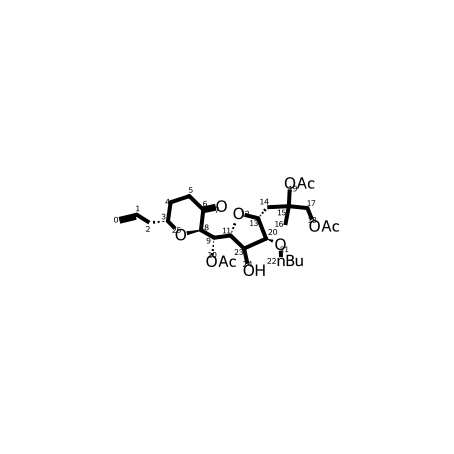 C=CC[C@@H]1CCC(=O)[C@@H]([C@@H](OC(C)=O)[C@@H]2O[C@H](CC(C)(COC(C)=O)OC(C)=O)[C@H](OCCCC)C2O)O1